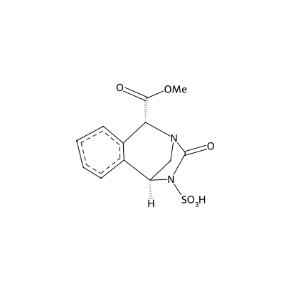 COC(=O)[C@H]1c2ccccc2[C@H]2CN1C(=O)N2S(=O)(=O)O